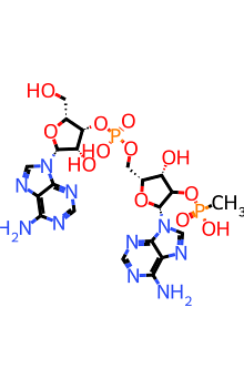 CP(=O)(O)OC1[C@@H](O)[C@@H](COP(=O)(O)O[C@@H]2[C@H](O)[C@H](n3cnc4c(N)ncnc43)O[C@@H]2CO)O[C@H]1n1cnc2c(N)ncnc21